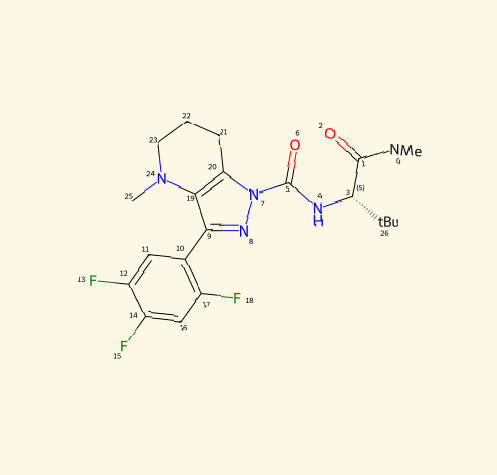 CNC(=O)[C@@H](NC(=O)n1nc(-c2cc(F)c(F)cc2F)c2c1CCCN2C)C(C)(C)C